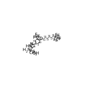 C[C@@](N)(CO)c1cc(-c2ccc(OCCCCCCC(F)(F)C(F)(F)F)c(C(F)(F)F)c2)n[nH]1